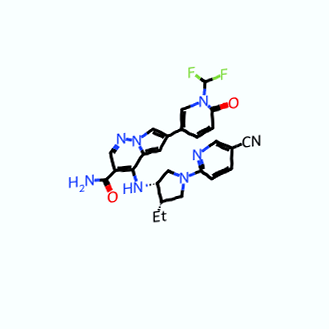 CC[C@H]1CN(c2ccc(C#N)cn2)C[C@H]1Nc1c(C(N)=O)cnn2cc(-c3ccc(=O)n(C(F)F)c3)cc12